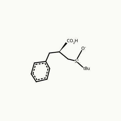 CC(C)(C)[S+]([O-])C[C@@H](Cc1ccccc1)C(=O)O